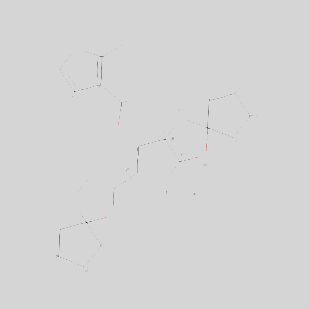 Fc1occc1CO[C@@H]1[C@H]2OC3(CCCC3)O[C@H]2O[C@@H]1[C@H]1COC2(CCCC2)O1